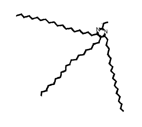 C[CH]c1nc(CCCCCCCCCCCCCCCCCCC)c(CCCCCCCCCCCCCCCCCCC)c(CCCCCCCCCCCCCCCCCCC)n1